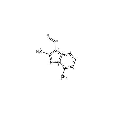 Cc1nn2c(C)cccc2c1C=O